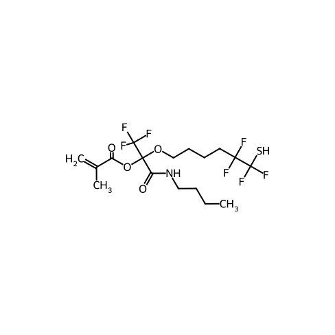 C=C(C)C(=O)OC(OCCCCC(F)(F)C(F)(F)S)(C(=O)NCCCC)C(F)(F)F